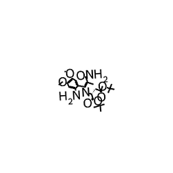 COc1cc(N)c(C(=C(C)C(N)=O)N(C)[C@H](CC(=O)OC(C)(C)C)C(=O)OC(C)(C)C)cc1OC